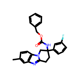 Cc1ccc2c(c1)nc1n2CC(NC(=O)OCc2ccccc2)(c2cccc(F)c2)CC1